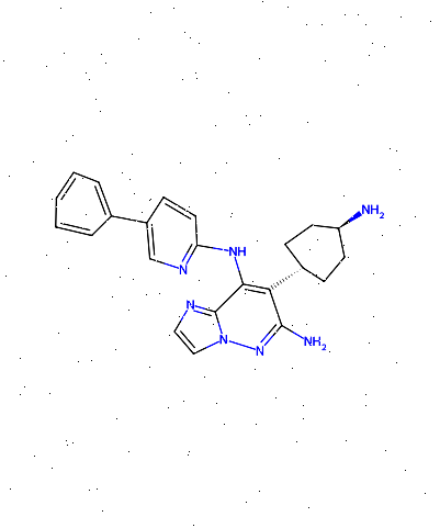 Nc1nn2ccnc2c(Nc2ccc(-c3ccccc3)cn2)c1[C@H]1CC[C@H](N)CC1